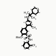 COc1ccc(-c2sc(NC(C)(C)C3CCOCC3)nc2C)cc1S(=O)(=O)Nc1ccncc1C(F)(F)F